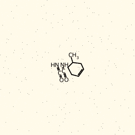 CC1CC=CCC1.N=C=O.N=C=O